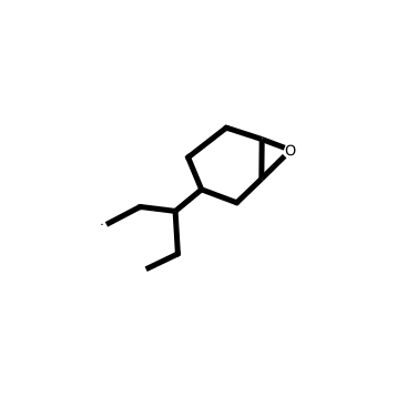 [CH2]CC(CC)C1CCC2OC2C1